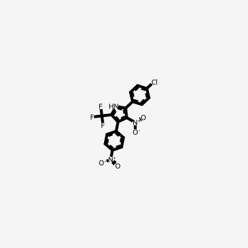 O=[N+]([O-])c1ccc(-c2c(C(F)(F)F)[nH]c(-c3ccc(Cl)cc3)c2[N+](=O)[O-])cc1